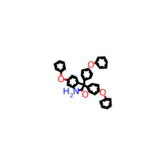 NC(=O)C(c1ccc(Oc2ccccc2)cc1)(c1ccc(Oc2ccccc2)cc1)c1ccc(Oc2ccccc2)cc1